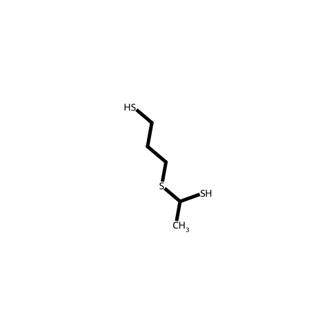 CC(S)SCCCS